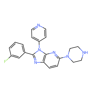 Fc1cccc(-c2nc3ccc(N4CCNCC4)nc3n2-c2ccncc2)c1